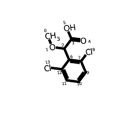 COC(C(=O)O)c1c(Cl)cccc1Cl